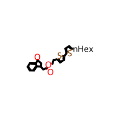 CCCCCCc1ccc(-c2ccc(CCOC(=O)CC3CC(=O)c4ccccc43)s2)s1